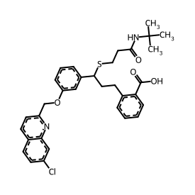 CC(C)(C)NC(=O)CCSC(CCc1ccccc1C(=O)O)c1cccc(OCc2ccc3ccc(Cl)cc3n2)c1